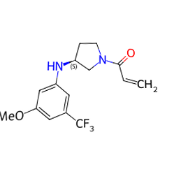 C=CC(=O)N1CC[C@H](Nc2cc(OC)cc(C(F)(F)F)c2)C1